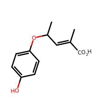 C/C(=C\C(C)Oc1ccc(O)cc1)C(=O)O